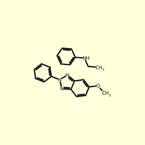 CCNc1ccccc1.COc1ccc2nn(-c3ccccc3)nc2c1